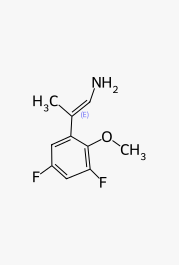 COc1c(F)cc(F)cc1/C(C)=C/N